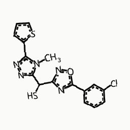 Cn1c(-c2cccs2)nnc1C(S)c1noc(-c2cccc(Cl)c2)n1